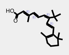 CC1=C(/C=C/C(=C\C=C\C(C)=C\C(=O)O)C(C)(C)C)C(C)(C)CCC1